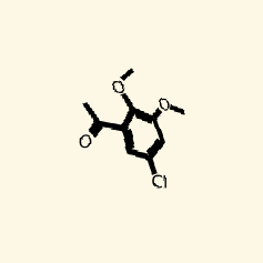 COc1cc(Cl)cc(C(C)=O)c1OC